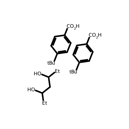 CC(C)(C)c1ccc(C(=O)O)cc1.CC(C)(C)c1ccc(C(=O)O)cc1.CCC(O)CC(O)CC